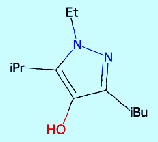 CCC(C)c1nn(CC)c(C(C)C)c1O